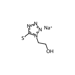 OCCn1nnnc1[S-].[Na+]